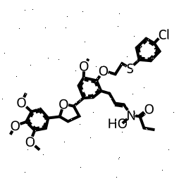 CCC(=O)N(O)C=CCc1cc(C2CCC(c3cc(OC)c(OC)c(OC)c3)O2)cc(OC)c1OCCSc1ccc(Cl)cc1